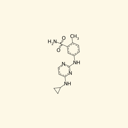 Cc1ccc(Nc2nccc(NC3CC3)n2)cc1S(N)(=O)=O